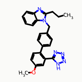 CCCc1nc2ccccc2n1Cc1ccc(-c2ccc(OC)cc2-c2nnn[nH]2)cc1